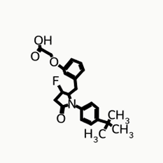 CC(C)(C)c1ccc(N2C(=O)CC(F)C2Cc2cccc(OCC(=O)O)c2)cc1